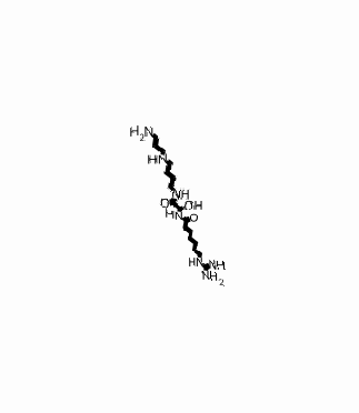 N=C(N)NCCCCC=CC(=O)NC(O)C(=O)NCCCCNCCCN